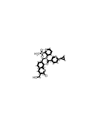 CS(=O)(=O)c1ncccc1N(Cc1ccc2cc(CO)c(Cl)nc2c1)C(=O)c1ccc(C2CC2)nc1